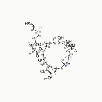 COc1cc2cc(c1Cl)N(C)C(=O)CC(OC(=O)[C@H](C)N(C)C(=O)CC[C@@H](C)CSS)C1(C)OC1C(C)C(O)CC(N)(O)C(OC)/C=C/C=C(\C)C2